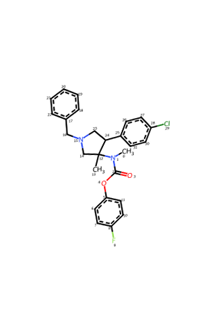 CN(C(=O)Oc1ccc(F)cc1)C1(C)CN(Cc2ccccc2)CC1c1ccc(Cl)cc1